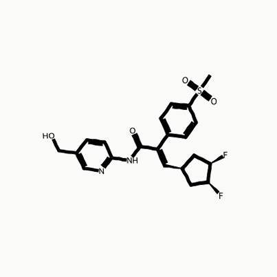 CS(=O)(=O)c1ccc(/C(=C\[C@H]2C[C@@H](F)[C@@H](F)C2)C(=O)Nc2ccc(CO)cn2)cc1